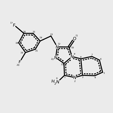 Nc1nc2ccccc2n2c(=O)n(Cc3cc(F)cc(F)c3)nc12